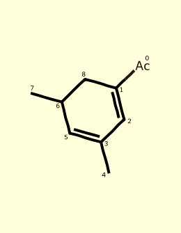 CC(=O)C1=CC(C)=CC(C)C1